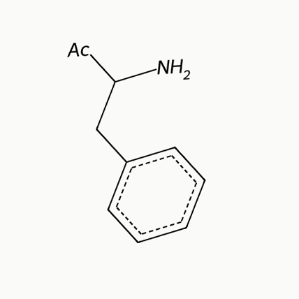 CC(=O)C(N)Cc1ccccc1